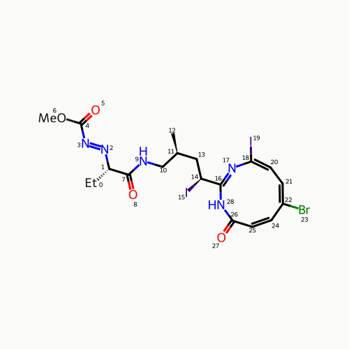 CC[C@H](N=NC(=O)OC)C(=O)NC[C@@H](C)C[C@H](I)c1nc(I)ccc(Br)ccc(=O)[nH]1